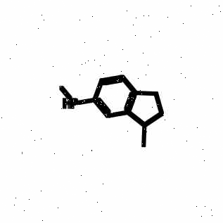 CPc1ccc2c(c1)C(C)CC2